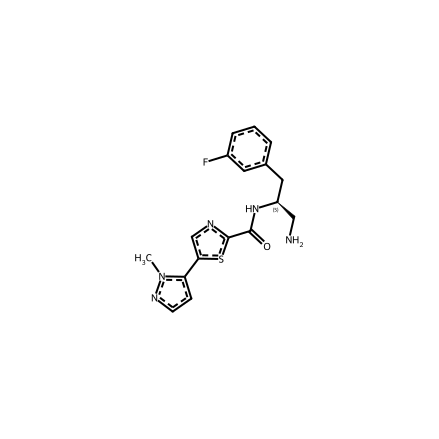 Cn1nccc1-c1cnc(C(=O)N[C@H](CN)Cc2cccc(F)c2)s1